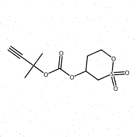 C#CC(C)(C)OC(=O)OC1CCOS(=O)(=O)C1